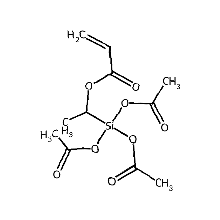 C=CC(=O)OC(C)[Si](OC(C)=O)(OC(C)=O)OC(C)=O